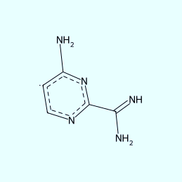 N=C(N)c1nc[c]c(N)n1